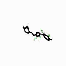 Cc1ccc(-c2ccc(CCC3CCC(C)CC3)c(F)c2F)c(F)c1F